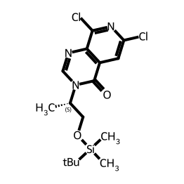 C[C@@H](CO[Si](C)(C)C(C)(C)C)n1cnc2c(Cl)nc(Cl)cc2c1=O